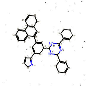 C1=CCCC(C2N=C(C3=CCCCC3)NC(C3C=C(c4cc5c(c6ccccc46)C=CCC5)C=C(C4=NCC=C4)C3)N2)=C1